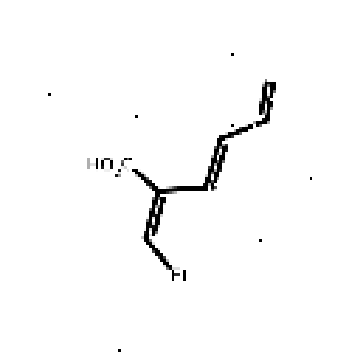 C=CC=CC(=CCC)C(=O)O